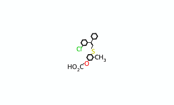 Cc1cc(OCC(=O)O)ccc1SC/C=C(/c1ccccc1)c1cccc(Cl)c1